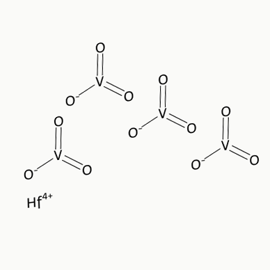 [Hf+4].[O]=[V](=[O])[O-].[O]=[V](=[O])[O-].[O]=[V](=[O])[O-].[O]=[V](=[O])[O-]